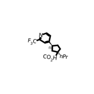 CCC[C@@]1(C(=O)O)CC[C@H](c2ccnc(C(F)(F)F)c2)C1